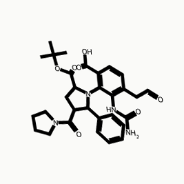 CC(C)(C)OC(=O)C1CC(C(=O)N2CCCC2)C(c2ccccc2)N1c1c(C(=O)O)ccc(CC=O)c1NC(N)=O